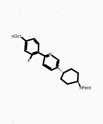 CCCCCCCCc1ccc(-c2ccc([C@H]3CC[C@H](CCCCC)CC3)cn2)c(F)c1